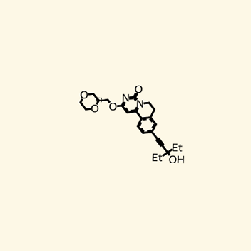 CCC(O)(C#Cc1ccc2c(c1)CCn1c-2cc(OC[C@@H]2COCCO2)nc1=O)CC